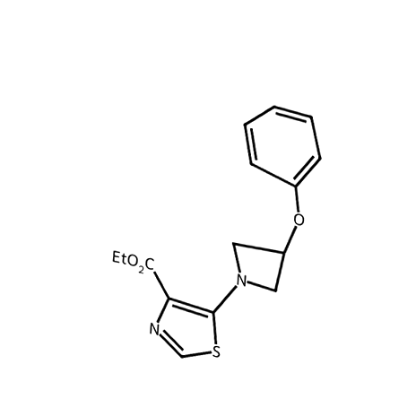 CCOC(=O)c1ncsc1N1CC(Oc2ccccc2)C1